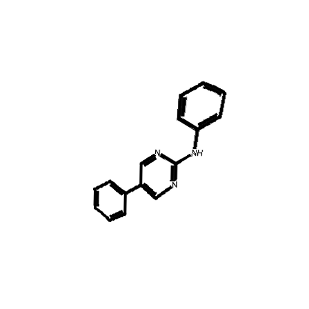 c1ccc(Nc2ncc(-c3ccccc3)cn2)cc1